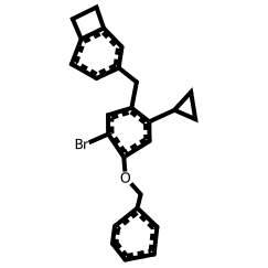 Brc1cc(Cc2ccc3c(c2)CC3)c(C2CC2)cc1OCc1ccccc1